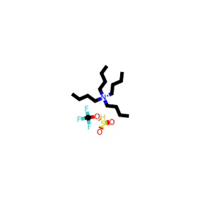 CCCC[N+](CCCC)(CCCC)CCCC.O=[SH](=O)OC(F)(F)F